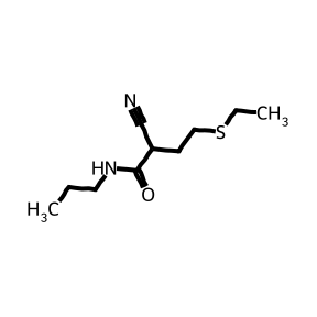 CCCNC(=O)C(C#N)CCSCC